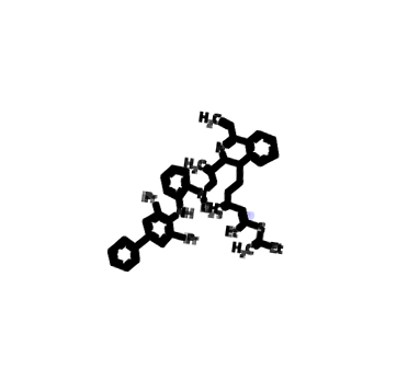 C=CC1=NC(C(=C)CN(C)c2ccccc2Nc2c(C(C)C)cc(-c3ccccc3)cc2C(C)C)C(CCC(=C)/C=C(\CC)SC(=C)CC)c2ccccc21